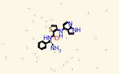 NC[C@@H](NC(=O)c1sccc1Nc1ccnc2[nH]ccc12)c1ccccc1